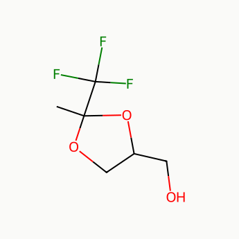 CC1(C(F)(F)F)OCC(CO)O1